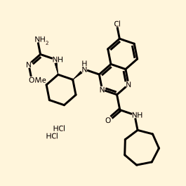 CO/N=C(/N)N[C@@H]1CCCC[C@@H]1Nc1nc(C(=O)NC2CCCCCC2)nc2ccc(Cl)cc12.Cl.Cl